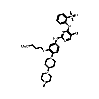 COCCCOc1cc(Nc2ncc(Cl)c(Nc3ccccc3P(C)(C)=O)n2)ccc1N1CCC(N2CCN(C)CC2)CC1